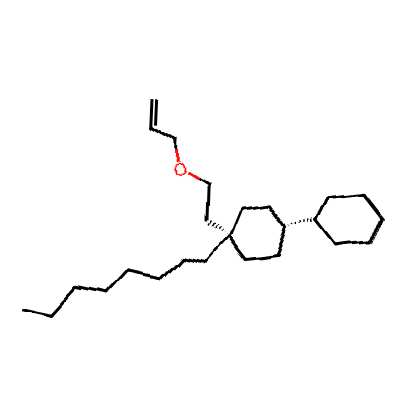 C=CCOCC[C@]1(CCCCCCCC)CC[C@H](C2CCCCC2)CC1